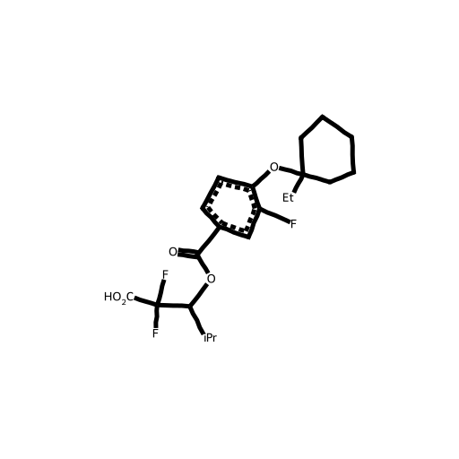 CCC1(Oc2ccc(C(=O)OC(C(C)C)C(F)(F)C(=O)O)cc2F)CCCCC1